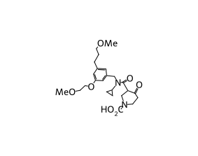 COCCCc1cc(CN(C(=O)C2CN(C(=O)O)CCC2=O)C2CC2)cc(OCCOC)c1